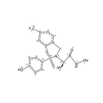 CCC[C@H](C(=O)NO)N(Cc1ccc(C(F)(F)F)cc1)S(=O)(=O)c1ccc(O)cc1